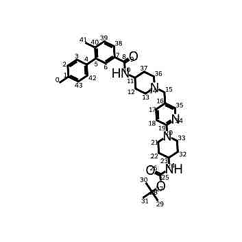 Cc1ccc(-c2cc(C(=O)NC3CCN(Cc4ccc(N5CCC(NC(=O)OC(C)(C)C)CC5)nc4)CC3)ccc2C)cc1